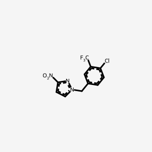 O=[N+]([O-])c1ccn(Cc2ccc(Cl)c(C(F)(F)F)c2)n1